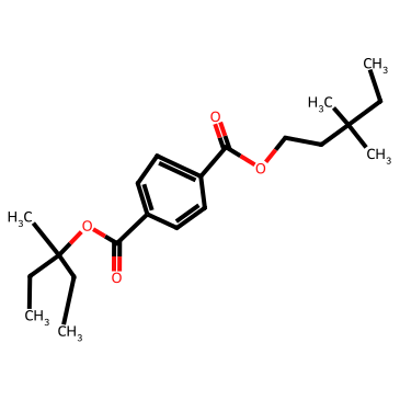 CCC(C)(C)CCOC(=O)c1ccc(C(=O)OC(C)(CC)CC)cc1